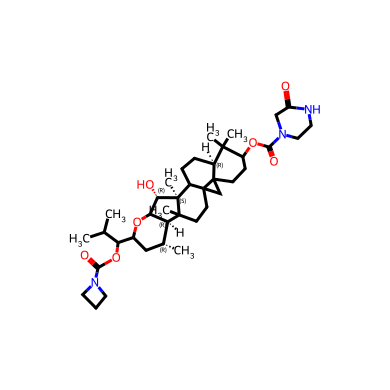 CC(C)C(OC(=O)N1CCC1)C1C[C@@H](C)[C@H]2C(O1)[C@H](O)[C@@]1(C)C3CC[C@H]4C(C)(C)C(OC(=O)N5CCNC(=O)C5)CCC45CC35CCC21C